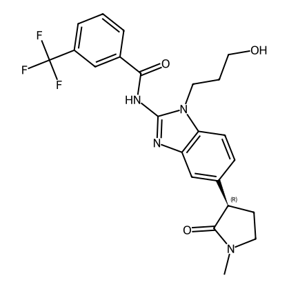 CN1CC[C@H](c2ccc3c(c2)nc(NC(=O)c2cccc(C(F)(F)F)c2)n3CCCO)C1=O